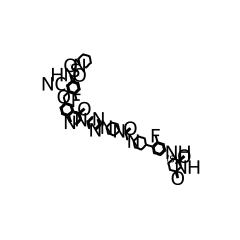 N#Cc1c(NS(=O)(=O)N2CCCCC2)ccc(F)c1Oc1ccc2ncn(-c3cnc(N4CCN(C(=O)CN5CCC(c6ccc(N[C@H]7CCC(=O)NC7=O)cc6F)CC5)CC4)nc3)c(=O)c2c1